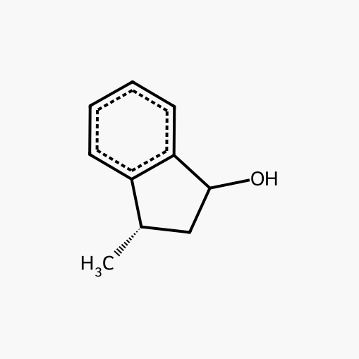 C[C@H]1CC(O)c2ccccc21